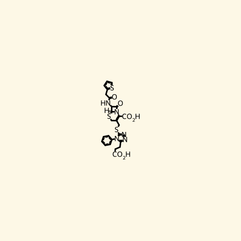 O=C(O)CCc1nnc(SCC2=C(C(=O)O)N3C(=O)C(NC(=O)Cc4cccs4)[C@@H]3SC2)n1-c1ccccc1